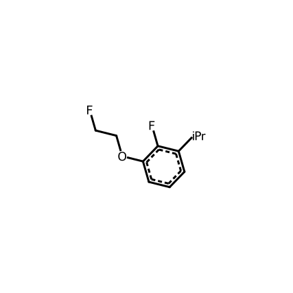 CC(C)c1cccc(OCCF)c1F